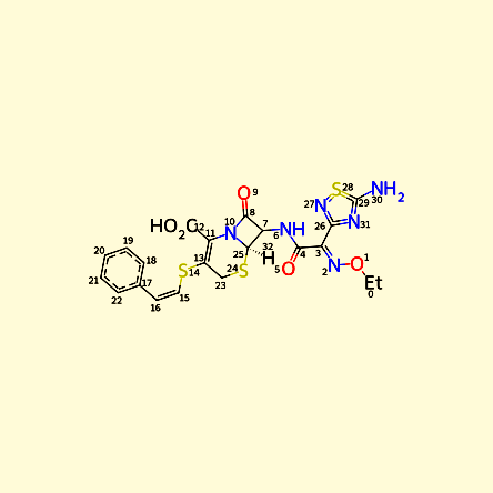 CCO/N=C(/C(=O)NC1C(=O)N2C(C(=O)O)=C(S/C=C\c3ccccc3)CS[C@H]12)c1nsc(N)n1